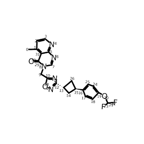 Cc1ccnc2ncn(Cc3nc([C@H]4C[C@H](c5ccc(OC(F)F)cc5)C4)no3)c(=O)c12